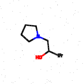 CC(C)C(O)CN1CCCC1